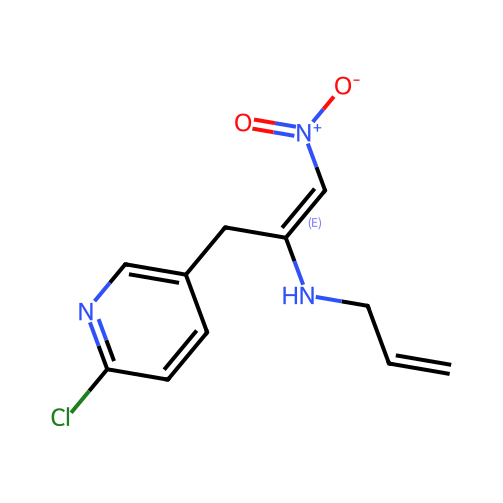 C=CCN/C(=C/[N+](=O)[O-])Cc1ccc(Cl)nc1